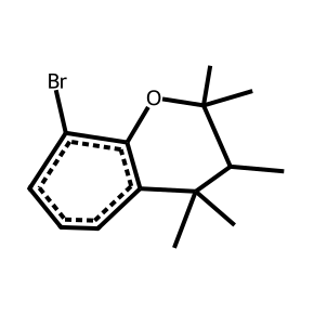 CC1C(C)(C)Oc2c(Br)cccc2C1(C)C